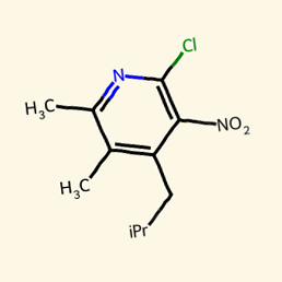 [CH2]C(C)Cc1c(C)c(C)nc(Cl)c1[N+](=O)[O-]